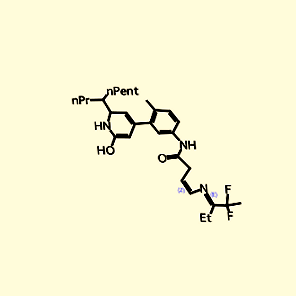 CCCCCC(CCC)C1C=C(c2cc(NC(=O)C/C=C\N=C(/CC)C(C)(F)F)ccc2C)C=C(O)N1